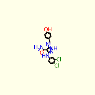 NC(=O)c1c(Nc2ccc(Cl)c(Cl)c2)n[nH]c1/N=C/c1ccc(O)cc1